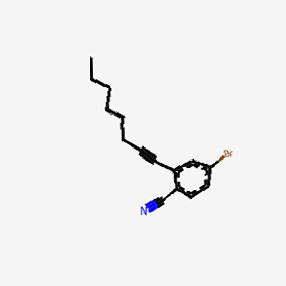 CCCCCCC#Cc1cc(Br)ccc1C#N